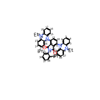 CCN1c2ccccc2N(c2ccc(N3c4ccccc4N(CC)c4ccccc43)c3c2C(=O)N(c2c(C(C)C)cccc2C(C)C)C3=O)c2ccccc21